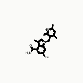 CCC(C)c1cc(C(N)=O)c2c(C)cn(Cc3c(C)cc(C)[nH]c3=O)c2c1